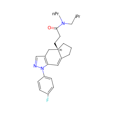 CCCN(CC(C)C)C(=O)CC[C@@]12CCCC1=Cc1c(cnn1-c1ccc(F)cc1)C2